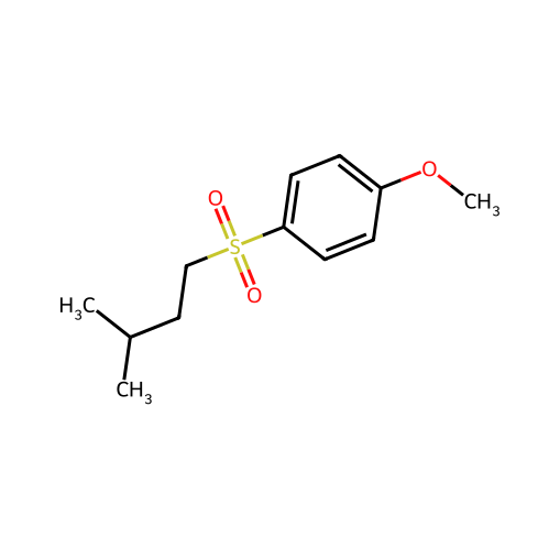 COc1ccc(S(=O)(=O)CCC(C)C)cc1